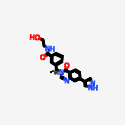 C[C@H](c1cccc(C(=O)NCCO)c1)n1cnc2cc(-c3cn[nH]c3)ccc2c1=O